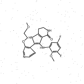 COCCOc1cnccc1-c1[nH]c2c(c1Nc1cc(F)cc(F)c1OC)C(=O)NCC2